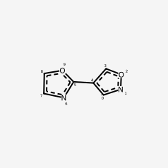 [c]1nocc1-c1ncco1